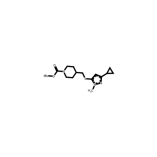 Cn1nc(C2CC2)cc1SCC1CCN(C(=O)OC(C)(C)C)CC1